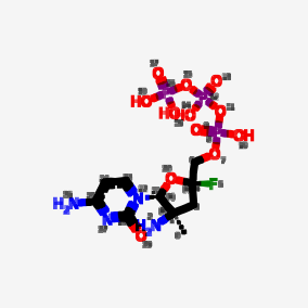 C[C@@]1(N)C[C@@](F)(COP(=O)(O)OP(=O)(O)OP(=O)(O)O)O[C@H]1n1ccc(N)nc1=O